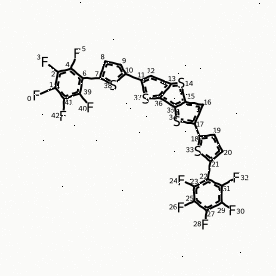 Fc1c(F)c(F)c(-c2ccc(-c3cc4sc5cc(-c6ccc(-c7c(F)c(F)c(F)c(F)c7F)s6)sc5c4s3)s2)c(F)c1F